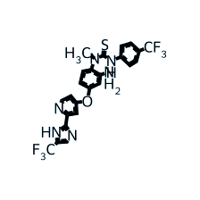 CN(C(=S)Nc1ccc(C(F)(F)F)cc1)c1ccc(Oc2ccnc(-c3ncc(C(F)(F)F)[nH]3)c2)cc1N